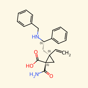 C=C[C@@]1(C[C@H](NCc2ccccc2)c2ccccc2)C[C@]1(C(N)=O)C(=O)O